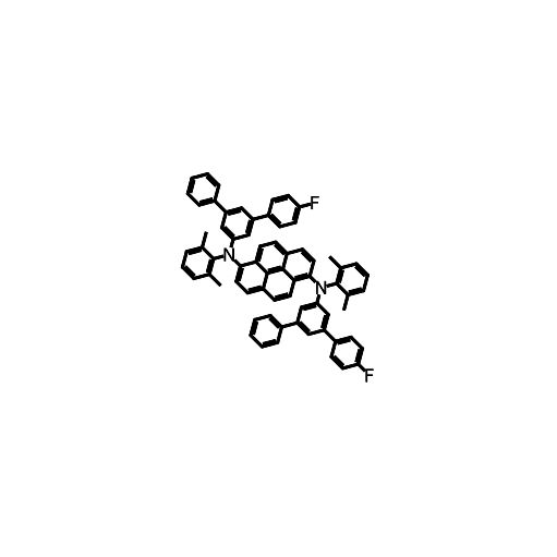 Cc1cccc(C)c1N(c1cc(-c2ccccc2)cc(-c2ccc(F)cc2)c1)c1ccc2ccc3c(N(c4cc(-c5ccccc5)cc(-c5ccc(F)cc5)c4)c4c(C)cccc4C)ccc4ccc1c2c43